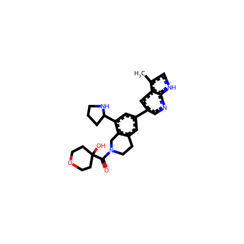 Cc1c[nH]c2ncc(-c3cc4c(c(C5CCCN5)c3)CN(C(=O)C3(O)CCOCC3)CC4)cc12